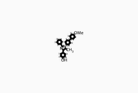 COc1ccc(-c2ccc(N3C(C)C(c4ccc(O)cc4)=NC3c3ccccc3)cc2)cc1